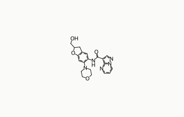 O=C(Nc1cc2c(cc1N1CCOCC1)OC(CO)C2)c1cnn2cccnc12